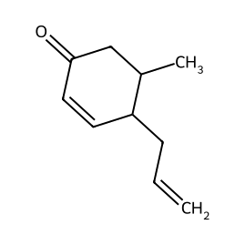 C=CCC1C=CC(=O)CC1C